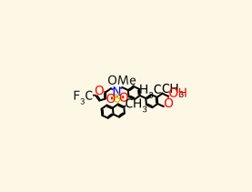 COc1cc(-c2ccc3c(c2)C(C)(C)C(O)OC3)ccc1CN(Cc1ccc(C(F)(F)F)o1)S(=O)(=O)c1c(C)ccc2ccccc12